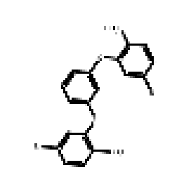 O=C(O)c1ccc(Br)cc1Oc1cccc(Oc2cc(Br)ccc2C(=O)O)c1